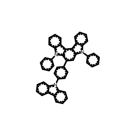 c1ccc(-n2c3ccccc3c3c4c5ccccc5n(-c5ccccc5)c4c(-c4ccc(-n5c6ccccc6c6ccccc65)cc4)cc32)cc1